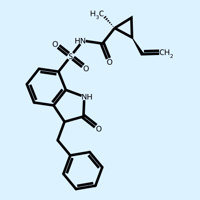 C=C[C@@H]1C[C@]1(C)C(=O)NS(=O)(=O)c1cccc2c1NC(=O)C2Cc1ccccc1